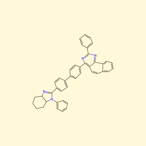 c1ccc(-c2nc(-c3ccc(-c4ccc(C5=NC6CCCCC6N5c5ccccc5)cc4)cc3)c3ccc4ccccc4c3n2)cc1